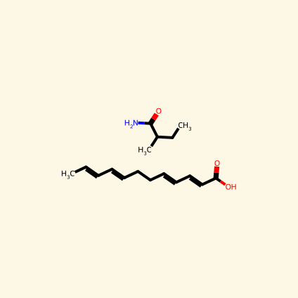 CC=CC=CCCC=CC=CC(=O)O.CCC(C)C(N)=O